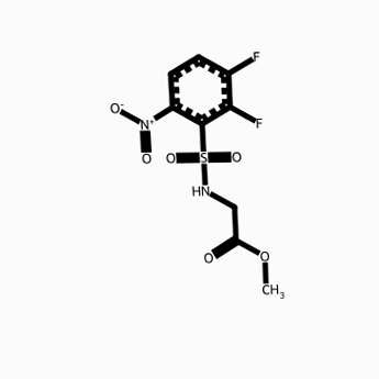 COC(=O)CNS(=O)(=O)c1c([N+](=O)[O-])ccc(F)c1F